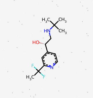 CC(C)(C)NC[C@@H](O)c1ccnc(C(C)(F)F)c1